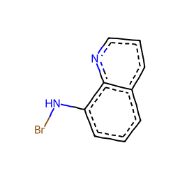 BrNc1cccc2cccnc12